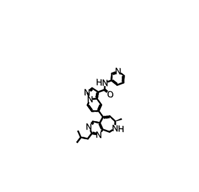 CC(C)Cc1ncc2c(n1)CN[C@H](C)C=C2c1ccn2ncc(C(=O)Nc3cccnc3)c2c1